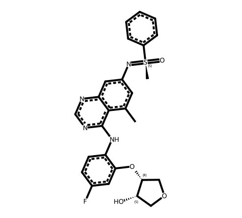 Cc1cc(N=[S@@](C)(=O)c2ccccc2)cc2ncnc(Nc3ccc(F)cc3O[C@@H]3COC[C@@H]3O)c12